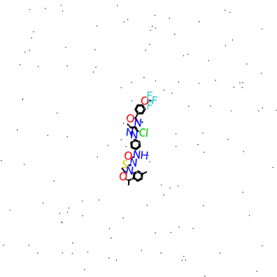 Cc1ccc(C(C)C)c(N2C(=O)CS/C2=N\C(=O)Nc2ccc(-n3nc(C)c(N(C)C(=O)c4ccc(OC(F)(F)F)cc4)c3Cl)cc2)c1